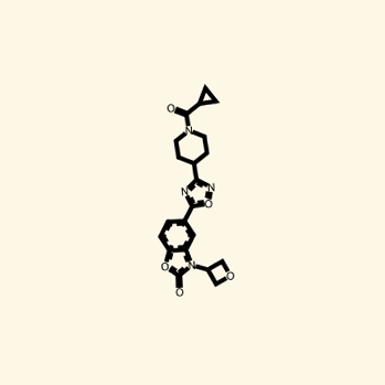 O=C(C1CC1)N1CCC(c2noc(-c3ccc4oc(=O)n(C5COC5)c4c3)n2)CC1